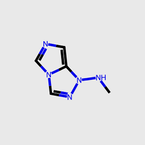 CNn1ncn2cncc12